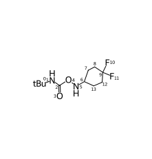 CC(C)(C)NC(=O)ONC1CCC(F)(F)CC1